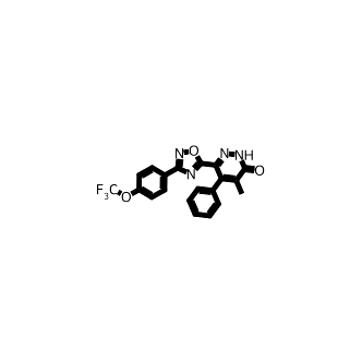 Cc1c(-c2ccccc2)c(-c2nc(-c3ccc(OC(F)(F)F)cc3)no2)n[nH]c1=O